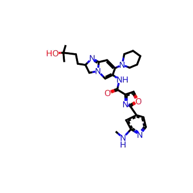 CNc1cc(-c2nc(C(=O)NC3=CN4CC(CCC(C)(C)O)N=C4C=C3N3CCCCC3)co2)ccn1